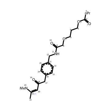 CCCC(=O)OCCCOCC(=O)NCc1ccc(CC(=O)/C=C(/C)NC)cc1